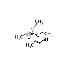 C/C=C/S.CCO[SiH](OCC)OCC